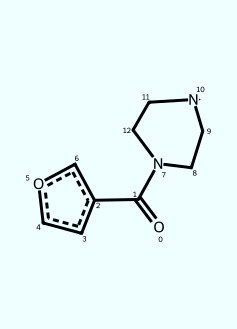 O=C(c1ccoc1)N1CC[N]CC1